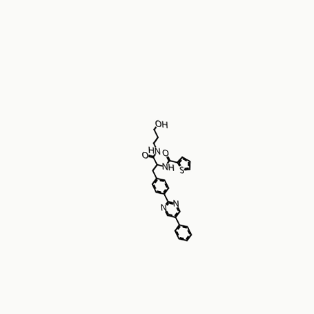 O=C(NC(Cc1ccc(-c2ncc(-c3ccccc3)cn2)cc1)C(=O)NCCCO)c1cccs1